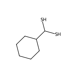 SC(S)C1CCCCC1